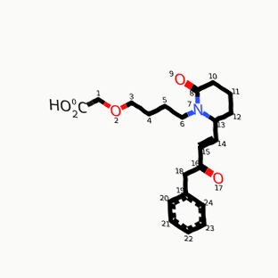 O=C(O)COCCCCN1C(=O)CCCC1C=CC(=O)Cc1ccccc1